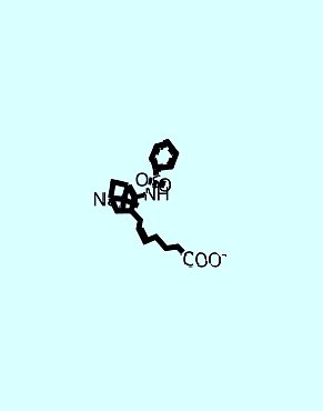 CC1(C)C2CC(C/C=C\CCCC(=O)[O-])C(NS(=O)(=O)c3ccccc3)C1C2.[Na+]